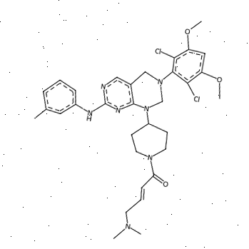 COc1cc(OC)c(Cl)c(N2Cc3cnc(Nc4cccc(C)c4)nc3N(C3CCN(C(=O)/C=C/CN(C)C)CC3)C2)c1Cl